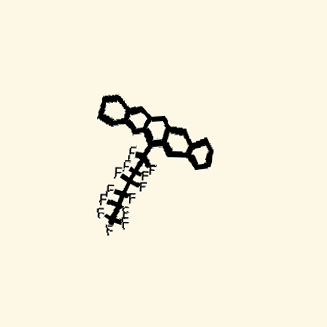 FC(F)(F)C(F)(F)C(F)(F)C(F)(F)C(F)(F)C(F)(F)c1c2cc3ccccc3cc2cc2cc3ccccc3cc12